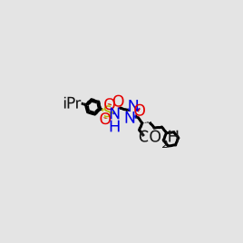 CC(C)c1ccc(S(=O)(=O)NC(=O)c2noc([C@H](CCCC3CCCCC3)CC(=O)O)n2)cc1